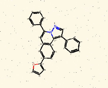 c1ccc(-c2cnn3c(-c4ccccc4)cc4cc(-c5ccco5)ccc4c23)cc1